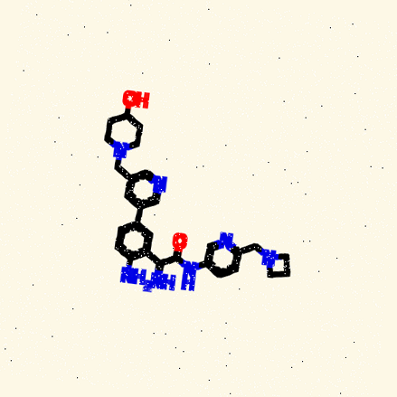 N=C(C(=O)Nc1ccc(CN2CCC2)nc1)c1cc(-c2cncc(CN3CCC(O)CC3)c2)ccc1N